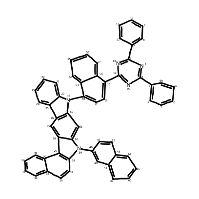 c1ccc(-c2nc(-c3ccccc3)nc(-c3ccc(-n4c5ccccc5c5cc6c7c8ccccc8ccc7n(-c7ccc8ccccc8c7)c6cc54)c4ccccc34)n2)cc1